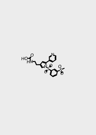 CS(=O)(=O)c1cccc(S(=O)(=O)n2cc(CCNC(=O)O)cc2-c2cccnc2)c1